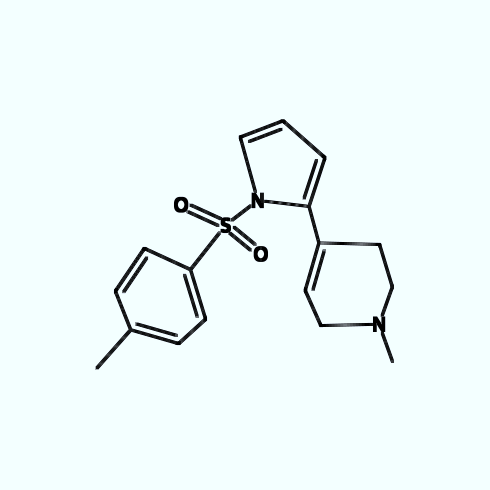 Cc1ccc(S(=O)(=O)n2cccc2C2=CCN(C)CC2)cc1